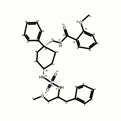 COCC(Cc1ccccc1)NS(=O)(=O)N[C@H]1CC[C@](CNC(=O)c2ccccc2OC)(c2ccccc2)CC1